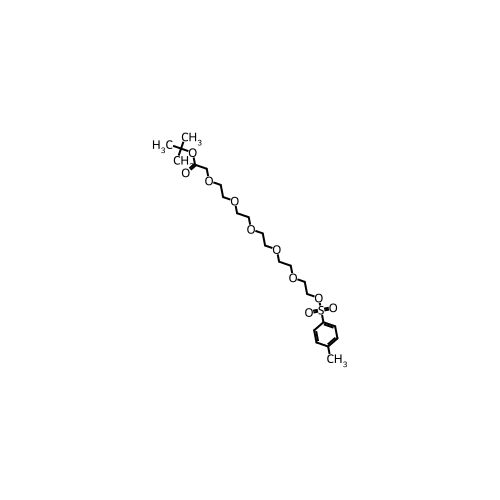 Cc1ccc(S(=O)(=O)OCCOCCOCCOCCOCCOCC(=O)OC(C)(C)C)cc1